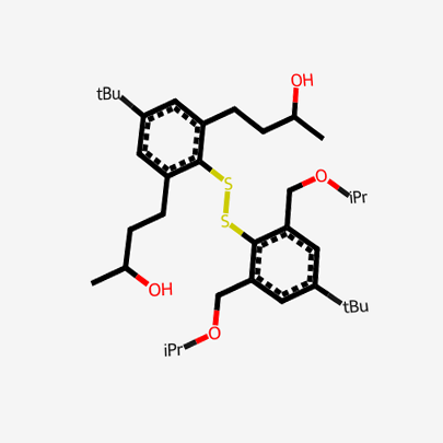 CC(O)CCc1cc(C(C)(C)C)cc(CCC(C)O)c1SSc1c(COC(C)C)cc(C(C)(C)C)cc1COC(C)C